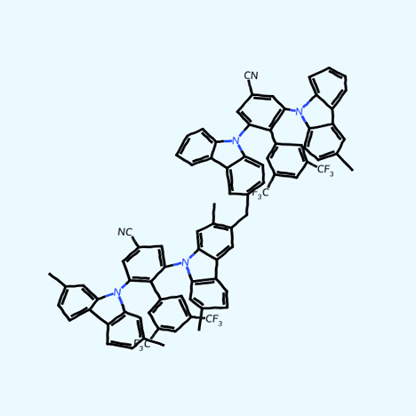 Cc1ccc2c(c1)c1ccccc1n2-c1cc(C#N)cc(-n2c3ccccc3c3cc(Cc4cc5c6ccc(C)cc6n(-c6cc(C#N)cc(-n7c8cc(C)ccc8c8ccc(C)cc87)c6-c6cc(C(F)(F)F)cc(C(F)(F)F)c6)c5cc4C)ccc32)c1-c1cc(C(F)(F)F)cc(C(F)(F)F)c1